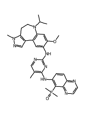 COc1cc2c(cc1Nc1ncc(C)c(Nc3ccc4nccnc4c3P(C)(C)=O)n1)-c1cnn(C)c1CCN2C(C)C